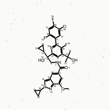 COc1cc(C(=O)NC[C@](O)(c2cc(C(C)(C)O)c(F)c(-c3cc(Cl)c(F)cc3F)n2)C2CC2)cc2cn(C3CC3)nc12